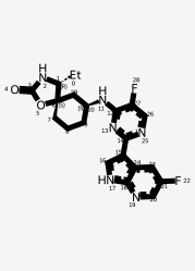 CC[C@H]1NC(=O)O[C@]12CCC[C@H](Nc1nc(-c3c[nH]c4ncc(F)cc34)ncc1F)C2